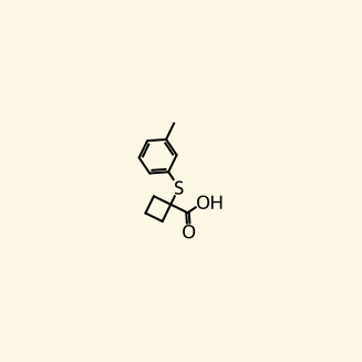 Cc1cccc(SC2(C(=O)O)CCC2)c1